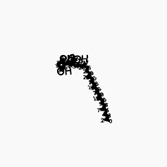 CC(C)=CCC/C(C)=C/CC/C(C)=C/CC/C(C)=C/CC/C(C)=C/CC/C(C)=C/CCC(=CCc1cc(O)ccc1O)C(=O)O